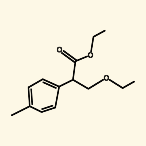 CCOCC(C(=O)OCC)c1ccc(C)cc1